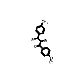 CCOc1ccc(C(=O)C(Br)C(Br)c2ccc(C)cc2)cc1